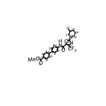 COC(=O)c1ccc(-c2ccc(NC(=O)c3oc(N4CCCC(C)C4)nc3C(F)(F)F)nc2)cc1